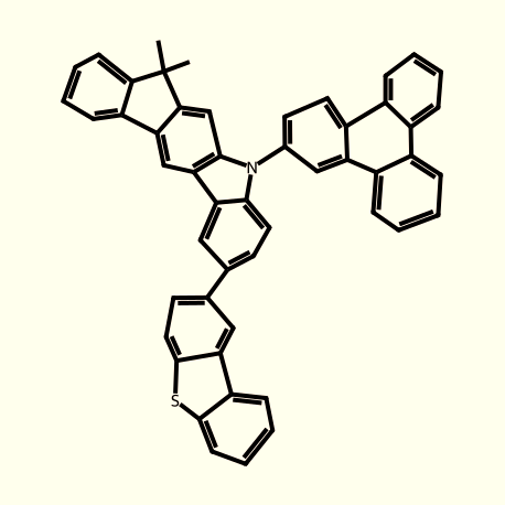 CC1(C)c2ccccc2-c2cc3c4cc(-c5ccc6sc7ccccc7c6c5)ccc4n(-c4ccc5c6ccccc6c6ccccc6c5c4)c3cc21